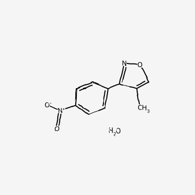 Cc1conc1-c1ccc([N+](=O)[O-])cc1.O